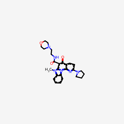 Cn1c2ccccc2n2c3nc(N4CCCC4)ccc3c(=O)c(C(=O)NCCN3CCOCC3)c12